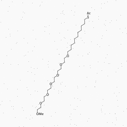 COCCOCCOCCOCCOCCOCCOCCCCCCCCCCCSC(C)=O